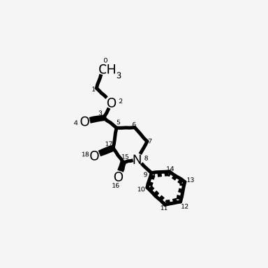 CCOC(=O)C1CCN(c2ccccc2)C(=O)C1=O